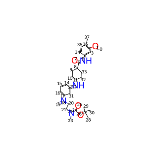 COc1cc(NC(=O)C2CCC(Nc3cccc(N(C)CCN(C)C(=O)OC(C)(C)C)c3)CC2)ccc1C